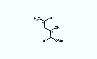 COC(O)[C@@H](O)C[C@@H](C)O